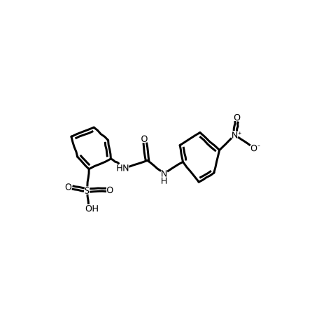 O=C(Nc1ccc([N+](=O)[O-])cc1)Nc1ccccc1S(=O)(=O)O